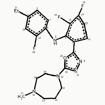 CCc1ccc(Nc2c(-c3nnc(N4CCCN(C)CC4)o3)ccc(F)c2F)c(F)c1